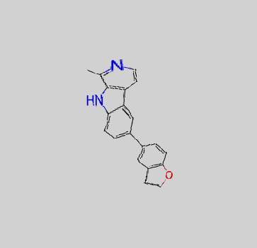 Cc1nccc2c1[nH]c1ccc(-c3ccc4c(c3)CCO4)cc12